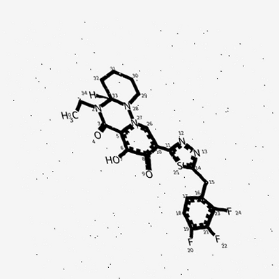 CCN1C(=O)c2c(O)c(=O)c(-c3nnc(Cc4ccc(F)c(F)c4F)s3)cn2N2CCCC[C@@H]12